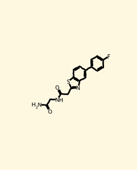 NC(=O)CNC(=O)Cc1nc2cc(-c3ccc(F)cc3)ccc2s1